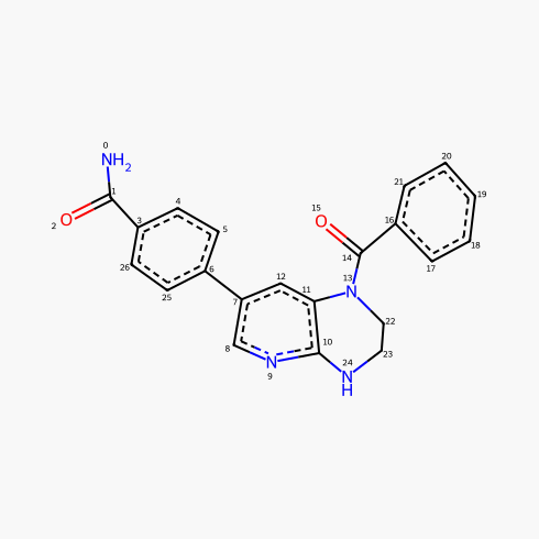 NC(=O)c1ccc(-c2cnc3c(c2)N(C(=O)c2ccccc2)CCN3)cc1